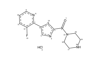 Cl.O=C(c1ncc(-c2ncccc2F)s1)N1CCNCC1